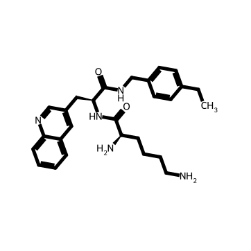 CCc1ccc(CNC(=O)[C@H](Cc2cnc3ccccc3c2)NC(=O)[C@H](N)CCCCN)cc1